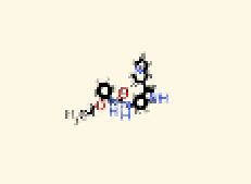 CCCOc1ccccc1NC(=O)Nc1ccc2[nH]cc(C3CCN4CCCC4C3)c2c1